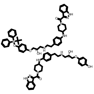 CC(C)(C)[Si](Oc1ccc(OC[C@@H](O)CNCCc2ccc(NC3CCN(C(=O)c4n[nH]c5ccccc45)CC3)cc2)cc1)(c1ccccc1)c1ccccc1.O=C(c1n[nH]c2ccccc12)N1CCC(Nc2ccc(CCNC[C@H](O)COc3ccc(O)cc3)cc2)CC1